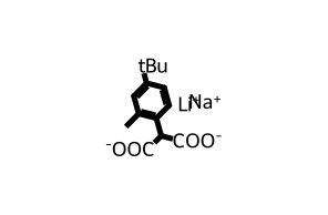 Cc1cc(C(C)(C)C)ccc1C(C(=O)[O-])C(=O)[O-].[Li+].[Na+]